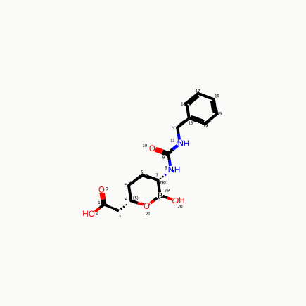 O=C(O)C[C@@H]1CC[C@H](NC(=O)NCc2ccccc2)B(O)O1